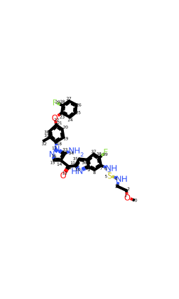 COCCNSNc1cc2[nH]c(C(=O)c3cnn(-c4ccc(Oc5ccccc5F)cc4C)c3N)cc2cc1F